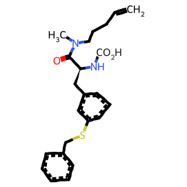 C=CCCCN(C)C(=O)[C@H](Cc1cccc(SCc2ccccc2)c1)NC(=O)O